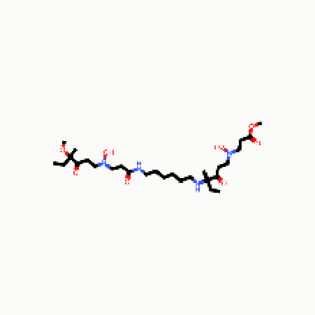 CCC(C)(NCCCCCCNC(=O)CCN(O)CCC(=O)C(C)(CC)OC)C(=O)CCN(O)CCC(=O)OC